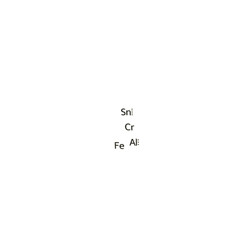 [Al].[Cr].[Fe].[Sn]